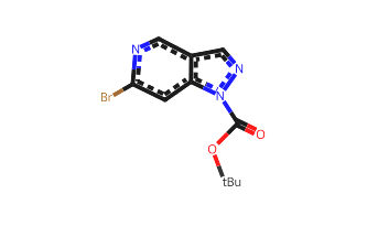 CC(C)(C)OC(=O)n1ncc2cnc(Br)cc21